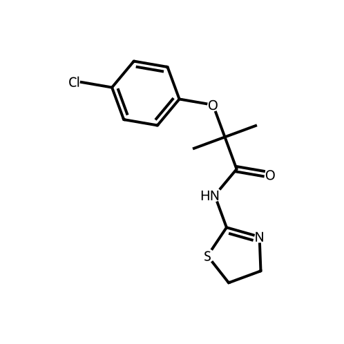 CC(C)(Oc1ccc(Cl)cc1)C(=O)NC1=NCCS1